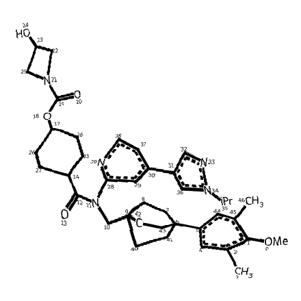 COc1c(C)cc(C23CCC(CN(C(=O)C4CCC(OC(=O)N5CC(O)C5)CC4)c4cc(-c5cnn(C(C)C)c5)ccn4)(CC2)CC3)cc1C